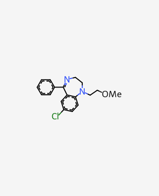 COCCN1CCN=C(c2ccccc2)c2cc(Cl)ccc21